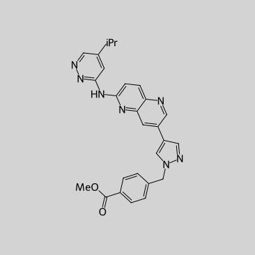 COC(=O)c1ccc(Cn2cc(-c3cnc4ccc(Nc5cc(C(C)C)cnn5)nc4c3)cn2)cc1